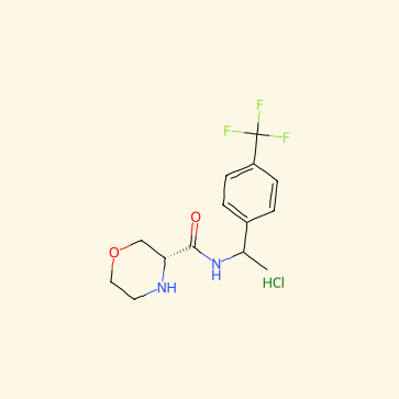 CC(NC(=O)[C@H]1COCCN1)c1ccc(C(F)(F)F)cc1.Cl